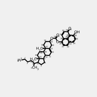 CC(C)CCCC(C)C1CCC2C3CC=C4CC(OC(=O)Oc5ccc6ccc(O)c7c6c5C=CC7=O)CCC4(C)C3CCC12C